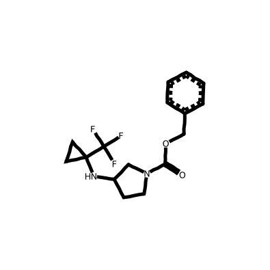 O=C(OCc1ccccc1)N1CCC(NC2(C(F)(F)F)CC2)C1